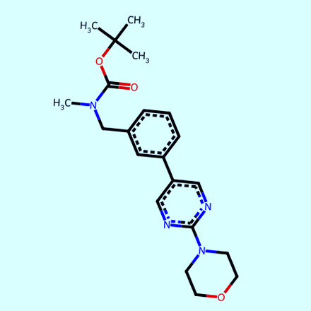 CN(Cc1cccc(-c2cnc(N3CCOCC3)nc2)c1)C(=O)OC(C)(C)C